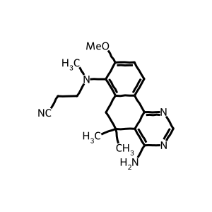 COc1ccc2c(c1N(C)CCC#N)CC(C)(C)c1c(N)ncnc1-2